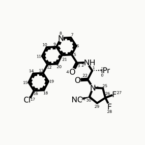 CC(C)[C@@H](NC(=O)c1ccnc2ccc(-c3ccc(Cl)cc3)cc12)C(=O)N1CC(F)(F)C[C@H]1C#N